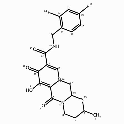 CC1CCN2C(=O)c3c(O)c(=O)c(C(=O)NCc4ccc(F)cc4F)cn3CC2S1